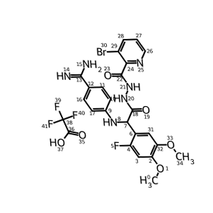 COc1cc(F)c(C(Nc2ccc(C(=N)N)cc2)C(=O)NNC(=O)c2ncccc2Br)cc1OC.O=C(O)C(F)(F)F